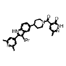 Cc1cc(C(=O)N2CCC(c3ccc4[nH]c(-c5cc(C)nc(C)c5)c(C(C)C)c4c3)CC2)c(=O)[nH]n1